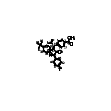 CC(C)[C@H](c1ccc(C(=O)O)cc1)N1C(=O)C(c2ccc(F)cc2)=NC12CCC(C(C)(C)C)CC2